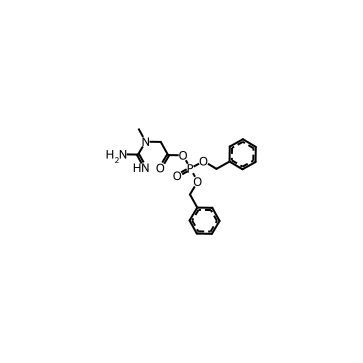 CN(CC(=O)OP(=O)(OCc1ccccc1)OCc1ccccc1)C(=N)N